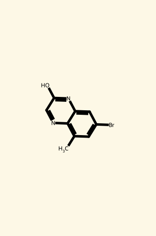 Cc1cc(Br)cc2nc(O)cnc12